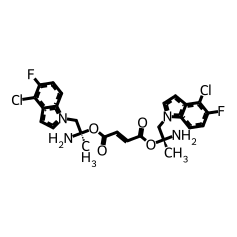 C[C@](N)(Cn1ccc2c(Cl)c(F)ccc21)OC(=O)/C=C/C(=O)O[C@@](C)(N)Cn1ccc2c(Cl)c(F)ccc21